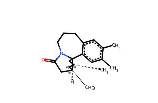 Cc1cc2c(cc1C)C13C[C@H](C)[C@@H](C=O)[C@@H]1CC(=O)N3CCC2